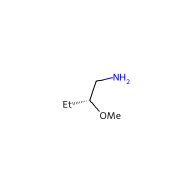 CC[C@H](CN)OC